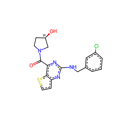 O=C(c1nc(NCc2cccc(Cl)c2)nc2ccsc12)N1CC[C@@H](O)C1